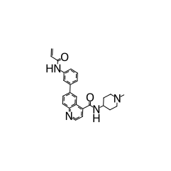 C=CC(=O)Nc1cccc(-c2ccc3nccc(C(=O)NC4CCN(C)CC4)c3c2)c1